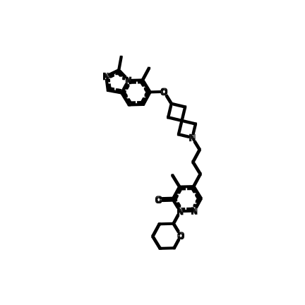 Cc1c(CCCN2CC3(CC(Oc4ccc5cnc(C)n5c4C)C3)C2)cnn(C2CCCCO2)c1=O